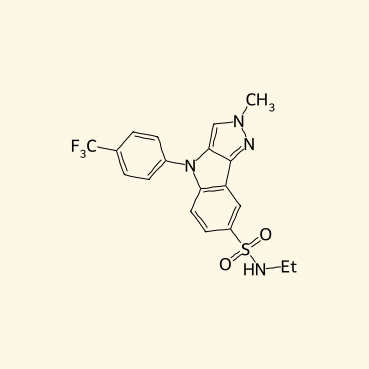 CCNS(=O)(=O)c1ccc2c(c1)c1nn(C)cc1n2-c1ccc(C(F)(F)F)cc1